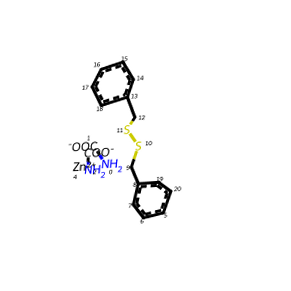 NC(=O)[O-].NC(=O)[O-].[Zn+2].c1ccc(CSSCc2ccccc2)cc1